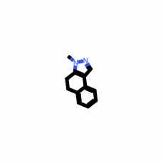 Cn1ncc2c1CCc1ccccc1-2